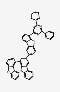 c1ccc(-c2nc(-c3ccccc3)nc(-c3cccc4c3sc3ccc(-c5cc(-c6cccc7oc8ccccc8c67)c6oc7ccccc7c6c5)cc34)n2)cc1